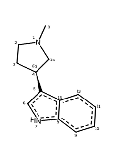 CN1CC[C@H](c2c[nH]c3ccccc23)C1